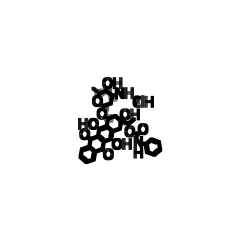 CC(OC(=O)Nc1ccccc1)[C@]1(O)Cc2c(O)c3c(c(O)c2[C@@H](O[C@H]2C[C@H](N)[C@@H](O)[C@H](C)O2)C1)C(=O)c1ccccc1C3=O.Cl